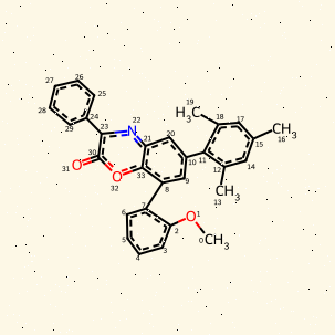 COc1ccccc1-c1cc(-c2c(C)cc(C)cc2C)cc2nc(-c3ccccc3)c(=O)oc12